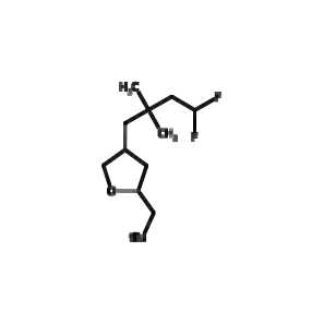 CC(C)(C)CC1CC(CC(C)(C)CC(F)F)CO1